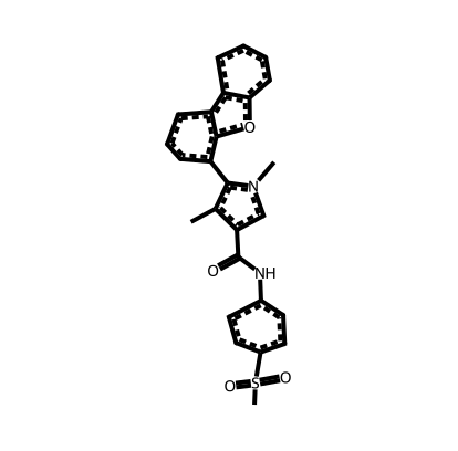 Cc1c(C(=O)Nc2ccc(S(C)(=O)=O)cc2)cn(C)c1-c1cccc2c1oc1ccccc12